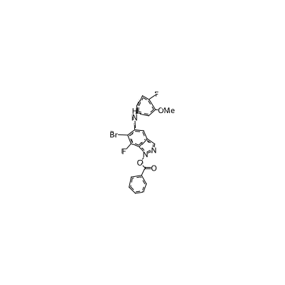 COc1cc(Nc2cc3cnn(OC(=O)c4ccccc4)c3c(F)c2Br)ccc1F